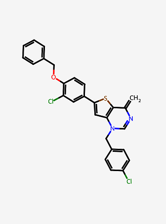 C=C1N=CN(Cc2ccc(Cl)cc2)c2cc(-c3ccc(OCc4ccccc4)c(Cl)c3)sc21